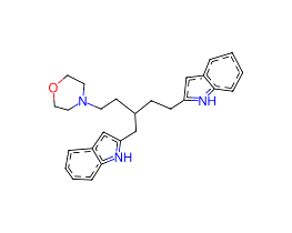 c1ccc2[nH]c(CCC(CCN3CCOCC3)Cc3cc4ccccc4[nH]3)cc2c1